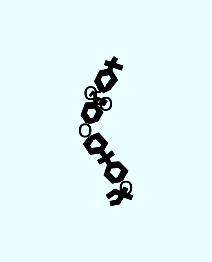 CCC(C)(CC)Oc1ccc(C(C)(C)c2ccc(Oc3ccc(S(=O)(=O)c4ccc(C(C)(C)C)cc4)cc3)cc2)cc1